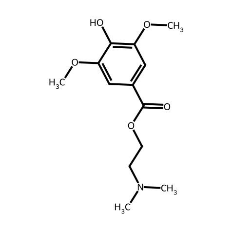 COc1cc(C(=O)OCCN(C)C)cc(OC)c1O